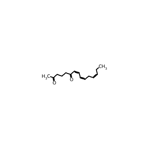 CC/C=C\C/C=C\C=C/C(=O)CCCC(C)=O